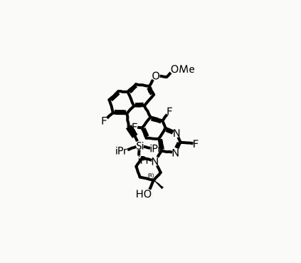 COCOc1cc(-c2c(F)cc3c(N4CCC[C@@](C)(O)C4)nc(F)nc3c2F)c2c(C#C[Si](C(C)C)(C(C)C)C(C)C)c(F)ccc2c1